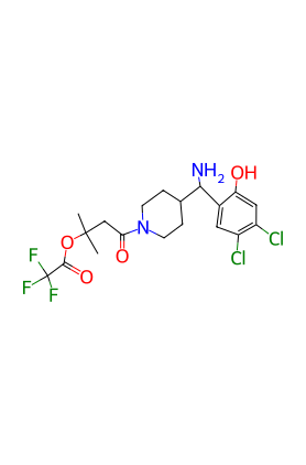 CC(C)(CC(=O)N1CCC(C(N)c2cc(Cl)c(Cl)cc2O)CC1)OC(=O)C(F)(F)F